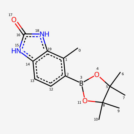 Cc1c(B2OC(C)(C)C(C)(C)O2)ccc2[nH]c(=O)[nH]c12